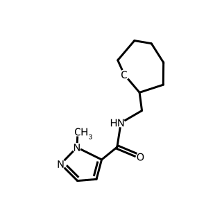 Cn1nccc1C(=O)NCC1CCCCCC1